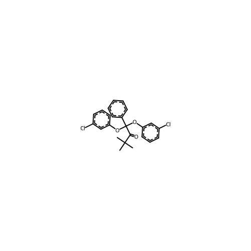 CC(C)(C)C(=O)C(Oc1cccc(Cl)c1)(Oc1cccc(Cl)c1)c1ccccc1